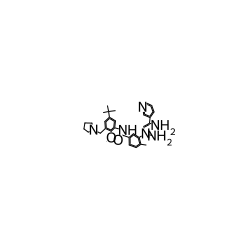 COc1c(CN2CCCC2)cc(C(C)(C)C)cc1NC(=O)c1ccc(C)c(N(N)/C=C(\N)c2cccnc2)c1